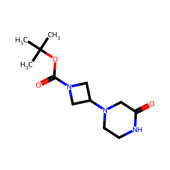 CC(C)(C)OC(=O)N1CC(N2CCNC(=O)C2)C1